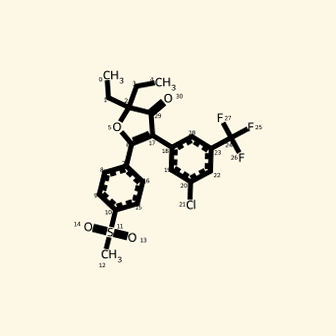 CCC1(CC)OC(c2ccc(S(C)(=O)=O)cc2)=C(c2cc(Cl)cc(C(F)(F)F)c2)C1=O